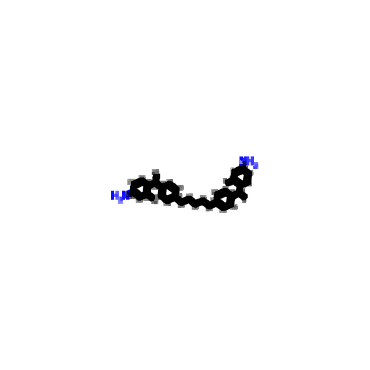 Cc1cc(N)ccc1C(C)c1ccc(CCCCCc2ccc(C(C)c3ccc(N)cc3C)cc2)cc1